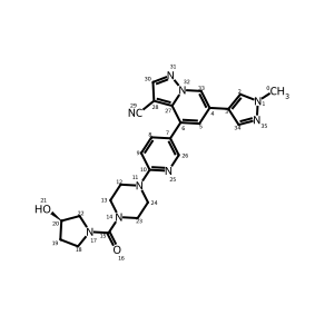 Cn1cc(-c2cc(-c3ccc(N4CCN(C(=O)N5CC[C@@H](O)C5)CC4)nc3)c3c(C#N)cnn3c2)cn1